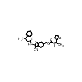 CC(CC(=O)Nc1sc2c(c1C#N)CCC(COC(=O)NC(C)c1ncc[nH]1)C2)c1ccccc1